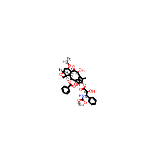 CCBOC1C[C@H]2OC[C@@]2(OC(C)=O)[C@H]2[C@H](OC(=O)c3ccccc3)[C@]3(O)C[C@H](OC(=O)[C@H](O)[C@@H](NC(=O)OC(C)(C)C)c4ccccc4)C(C)=C([C@@H](O)C(=O)[C@]12C)C3(C)C